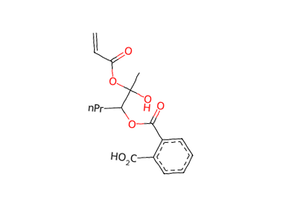 C=CC(=O)OC(C)(O)C(CCC)OC(=O)c1ccccc1C(=O)O